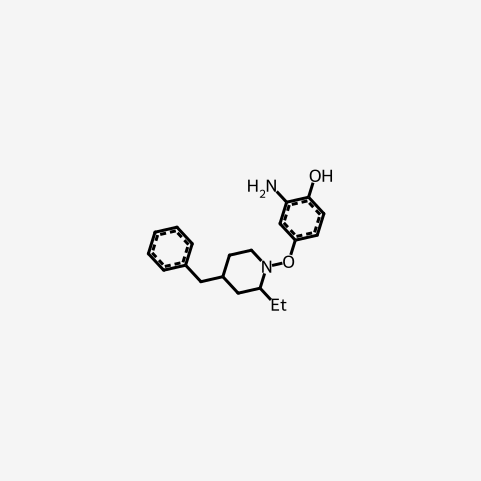 CCC1CC(Cc2ccccc2)CCN1Oc1ccc(O)c(N)c1